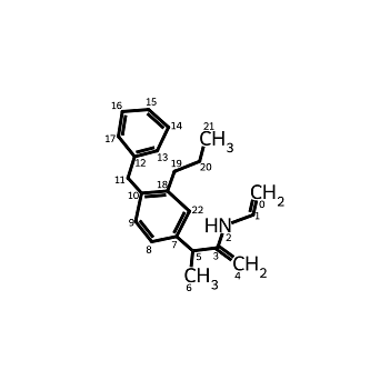 C=CNC(=C)C(C)c1ccc(Cc2ccccc2)c(CCC)c1